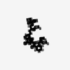 CO[C@@H](CCn1cnc2c(=O)[nH]c(NC(=O)c3ccccc3CN(C)C)nc21)COP(=O)(O)S